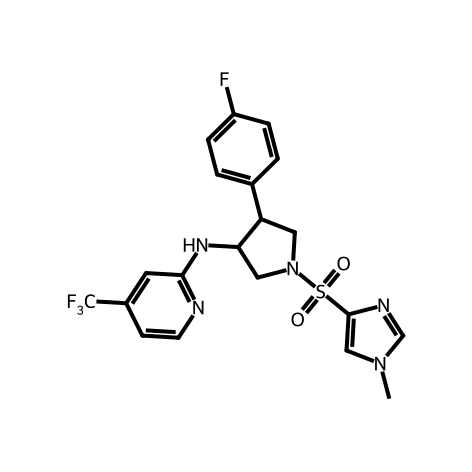 Cn1cnc(S(=O)(=O)N2CC(Nc3cc(C(F)(F)F)ccn3)C(c3ccc(F)cc3)C2)c1